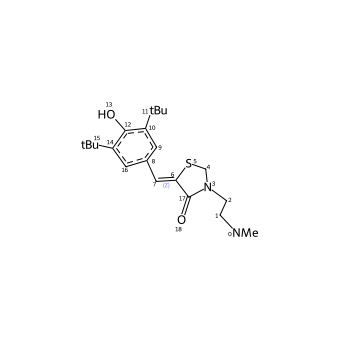 CNCCN1CS/C(=C\c2cc(C(C)(C)C)c(O)c(C(C)(C)C)c2)C1=O